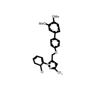 COc1ccc(-c2ccc(OCc3cc(C(F)(F)F)nn3C3=CC=CCC3Cl)cc2)cc1OC